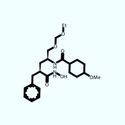 CCOCOC[C@H](C[C@H](Cc1ccccc1)C(=O)NO)NC(=O)C1CCC(OC)CC1